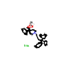 CCOCC1(c2ccccc2)CCN(CCC(c2ccccc2)(c2ccccc2)c2ccccc2)CC1.Cl